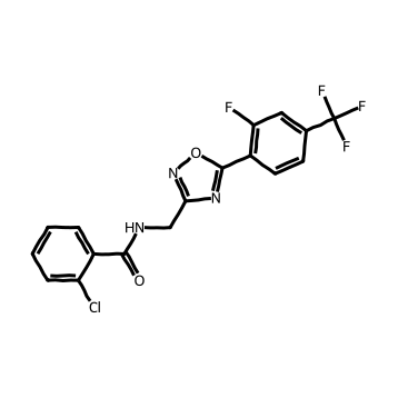 O=C(NCc1noc(-c2ccc(C(F)(F)F)cc2F)n1)c1ccccc1Cl